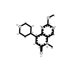 COc1ncc2c(n1)c(C1CCOCC1)cc(=O)n2C